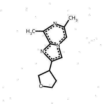 Cc1cn2cc(C3CCOC3)nc2c(C)n1